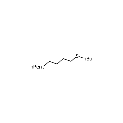 [CH2]CCCCCCCCSCCC[CH2]